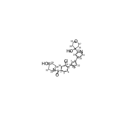 O=C(c1ccc(-c2cc(-c3ccnc(C4(O)CCOCC4)c3)cs2)c(Cl)c1)N1CCC(O)CC1